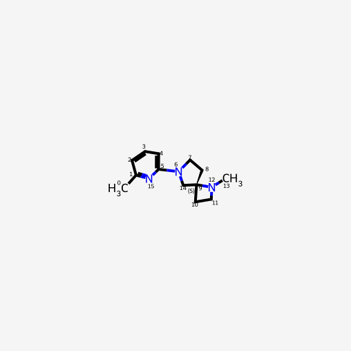 Cc1cccc(N2CC[C@@]3(CCN3C)C2)n1